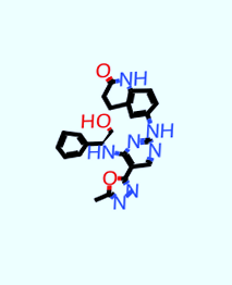 Cc1nnc(-c2cnc(Nc3ccc4c(c3)CCC(=O)N4)nc2N[C@H](CO)c2ccccc2)o1